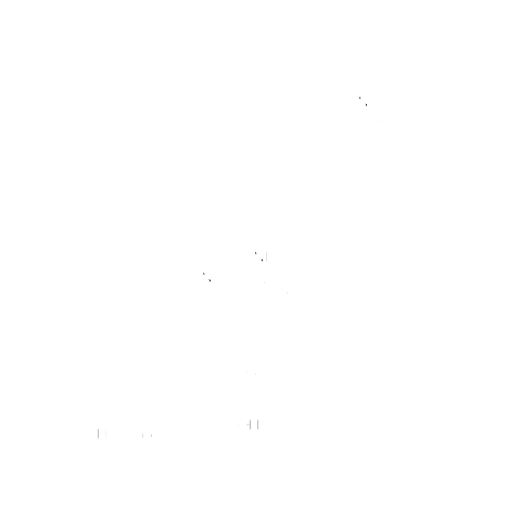 COc1ccc(-c2ccc3c(c2)Nc2ccc(CCOc4ccc(N5CCOCC5)cc4)cc2NC3=O)c(C(=O)O)c1